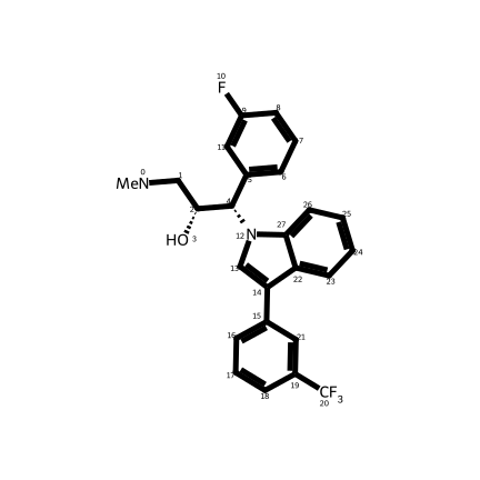 CNC[C@@H](O)[C@H](c1cccc(F)c1)n1cc(-c2cccc(C(F)(F)F)c2)c2ccccc21